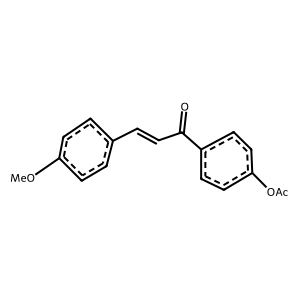 COc1ccc(/C=C/C(=O)c2ccc(OC(C)=O)cc2)cc1